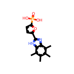 Cc1c(C)c(C)c2[nH]c(-c3ccc(P(=O)(O)O)o3)nc2c1C